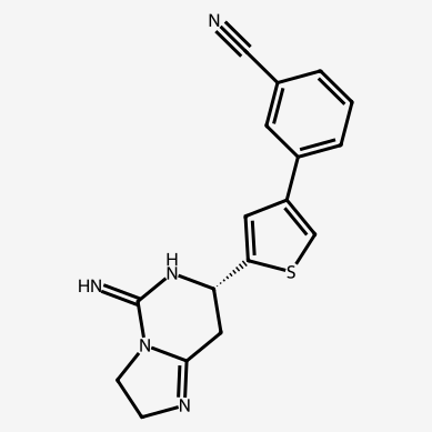 N#Cc1cccc(-c2csc([C@@H]3CC4=NCCN4C(=N)N3)c2)c1